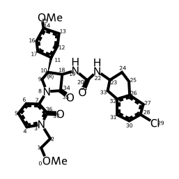 COCCn1cccc(N2C[C@@H](c3ccc(OC)cc3)C(NC(=O)NC3CCc4cc(Cl)ccc4C3)C2=O)c1=O